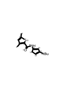 Cc1cc(C)c(C(=O)NC2=CC(C(C)(C)C)=CC2)s1